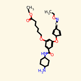 CCON=C=C1C=CC(Oc2cc(OCCCCCC(=O)OCC)cc(C(=O)NC3CCC(N)CC3)c2)C=C1